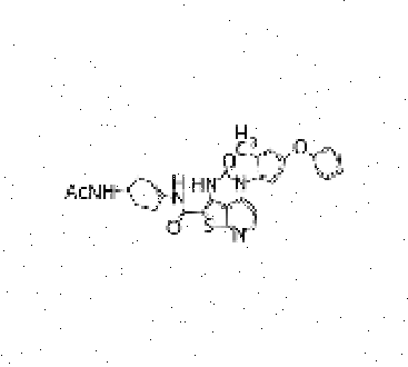 CC(=O)NC1CC=C(NC(=O)c2sc3nccc4c3c2NC(=O)N4c2ccc(Oc3ccccc3)cc2C)CC1